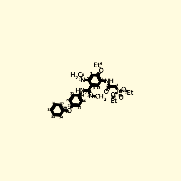 C=Nc1cc(OCC)c(NC(=O)CP(=O)(OCC)OCC)cc1/C(=N\C)Nc1ccc(Oc2ccccc2)cc1